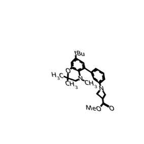 COC(=O)C1CN(c2cccc(-c3cc(C(C)(C)C)cc4c3N(C)CC(C)(C)O4)c2)C1